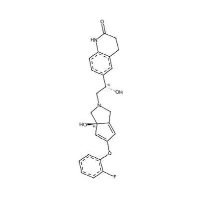 O=C1CCc2cc([C@H](O)CN3CC4=CC(Oc5ccccc5F)=C[C@]4(O)C3)ccc2N1